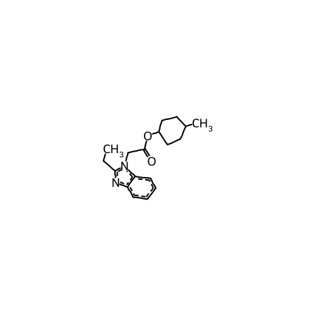 CCc1nc2ccccc2n1CC(=O)OC1CCC(C)CC1